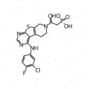 O=C(CP(=O)(O)O)N1CCc2c(sc3ncnc(Nc4ccc(F)c(Cl)c4)c23)C1